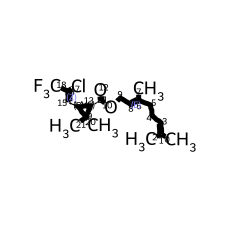 CC(C)=CCC/C(C)=C/COC(=O)[C@H]1[C@@H](/C=C(\Cl)C(F)(F)F)C1(C)C